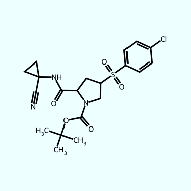 CC(C)(C)OC(=O)N1CC(S(=O)(=O)c2ccc(Cl)cc2)CC1C(=O)NC1(C#N)CC1